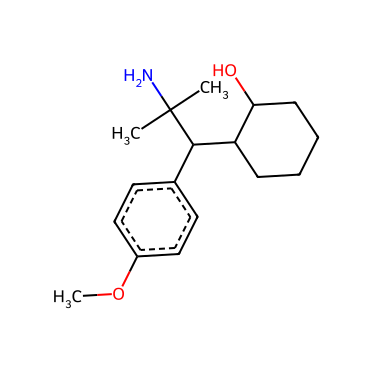 COc1ccc(C(C2CCCCC2O)C(C)(C)N)cc1